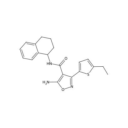 CCc1ccc(-c2noc(N)c2C(=O)NC2CCCc3ccccc32)s1